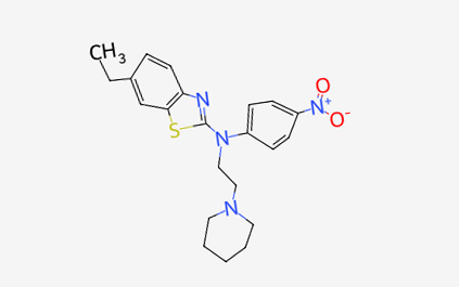 CCc1ccc2nc(N(CCN3CCCCC3)c3ccc([N+](=O)[O-])cc3)sc2c1